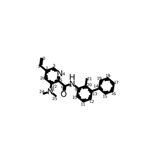 C=Cc1cnc(C(=O)Nc2cccc(-c3ccccc3)c2C)c(N(C)C)c1